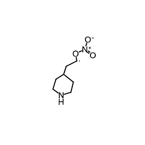 O=[N+]([O-])O[CH]CC1CCNCC1